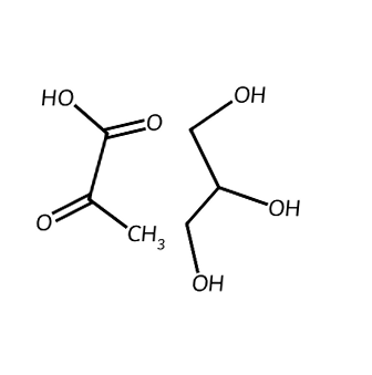 CC(=O)C(=O)O.OCC(O)CO